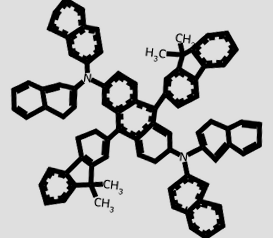 CC1(C)C2=C(CCC(c3c4c(c(-c5ccc6c(c5)C(C)(C)c5ccccc5-6)c5ccc(N(C6=CCC7C=CC=CC7=C6)c6ccc7ccccc7c6)cc35)=CC(N(C3=CCC5C=CC=CC5=C3)c3ccc5ccccc5c3)CC=4)=C2)c2ccccc21